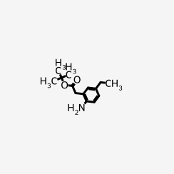 CCc1ccc(N)c(CC(=O)OC(C)(C)C)c1